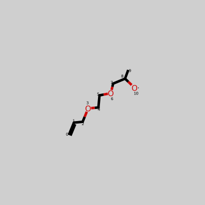 C=CCOCCOCC(C)[O]